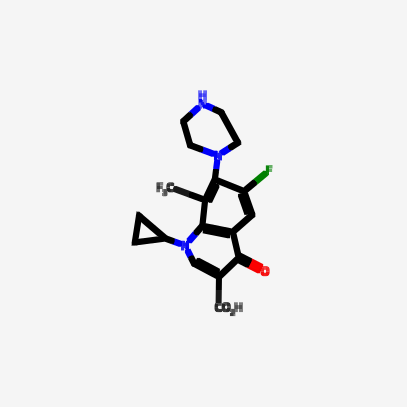 O=C(O)c1cn(C2CC2)c2c(C(F)(F)F)c(N3CCNCC3)c(F)cc2c1=O